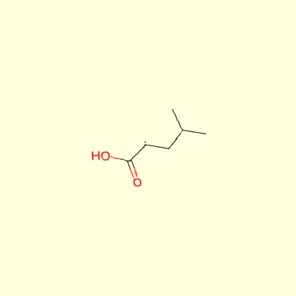 CC(C)C[CH]C(=O)O